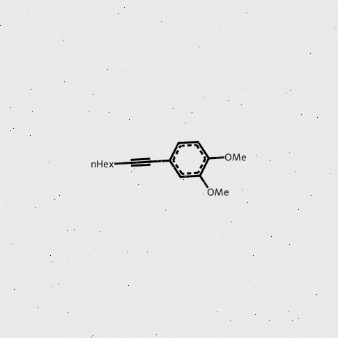 CCCCCCC#Cc1ccc(OC)c(OC)c1